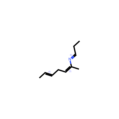 C/C=C/C/C=C(C)\N=C\CC